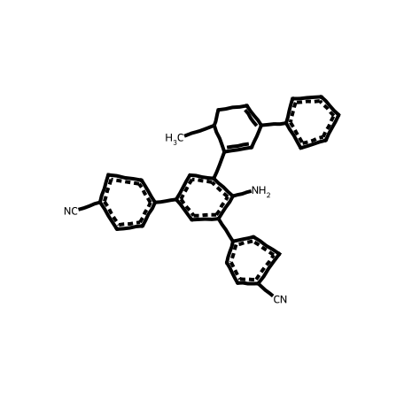 CC1CC=C(c2ccccc2)C=C1c1cc(-c2ccc(C#N)cc2)cc(-c2ccc(C#N)cc2)c1N